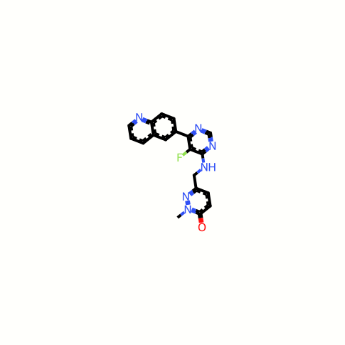 Cn1nc(CNc2ncnc(-c3ccc4ncccc4c3)c2F)ccc1=O